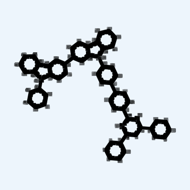 c1ccc(-c2cc(-c3ccccc3)nc(-c3ccc(-c4ccc(-n5c6ccccc6c6ccc(-c7ccc8c(c7)c7ccccc7n8-c7ccccc7)cc65)cc4)cc3)n2)cc1